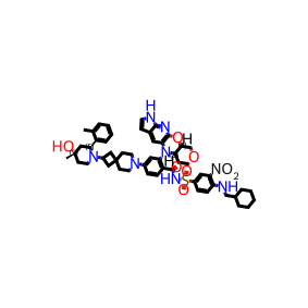 Cc1ccccc1[C@@H]1C[C@@](C)(O)CCN1C1CC2(CCN(c3ccc(C(=O)NS(=O)(=O)c4ccc(NCC5CCCCC5)c([N+](=O)[O-])c4)c(N4c5cc6cc[nH]c6nc5O[C@H]5COCC[C@@H]54)c3)CC2)C1